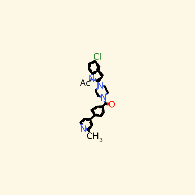 CC(=O)n1c(N2CCN(C(=O)c3ccc(-c4ccnc(C)c4)cc3)CC2)cc2cc(Cl)ccc21